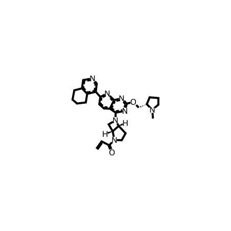 C=CC(=O)N1CC[C@@H]2[C@H]1CN2c1nc(OC[C@@H]2CCCN2C)nc2nc(-c3cncc4c3CCCC4)ccc12